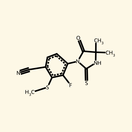 CSc1c(C#N)ccc(N2C(=O)C(C)(C)NC2=S)c1F